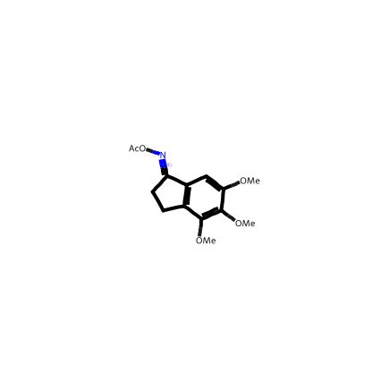 COc1cc2c(c(OC)c1OC)CC/C2=N\OC(C)=O